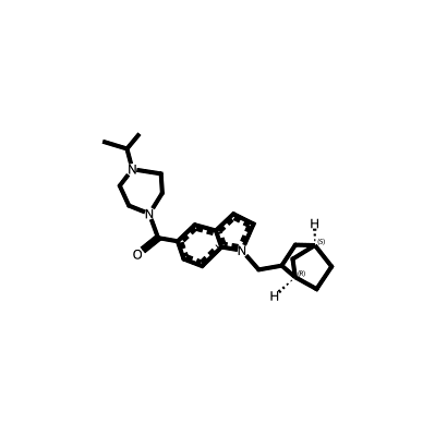 CC(C)N1CCN(C(=O)c2ccc3c(ccn3CC3C[C@H]4CC[C@@H]3C4)c2)CC1